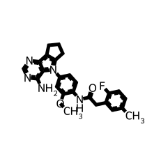 COc1cc(-n2c3c(c4ncnc(N)c42)CCC3)ccc1NC(=O)Cc1cc(C)ccc1F